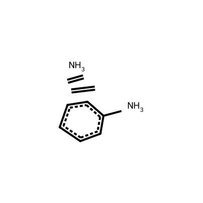 C=C.C=C.Cc1ccccc1.N.N